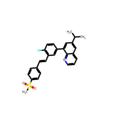 CC(C)c1cc(-c2ccc(F)c(/C=C/c3ccc(S(C)(=O)=O)cc3)c2)c2ncccc2c1